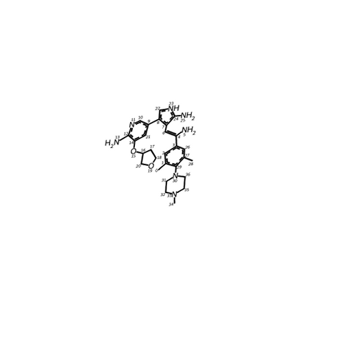 Cc1cc(/C(N)=C/c2c(-c3cnc(N)c(OC4CCOC4)c3)c[nH]c2N)cc(C)c1N1CCN(C)CC1